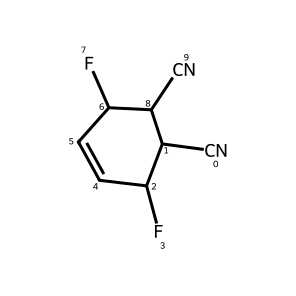 N#CC1C(F)C=CC(F)C1C#N